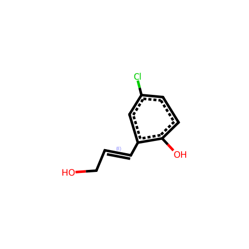 OC/C=C/c1cc(Cl)ccc1O